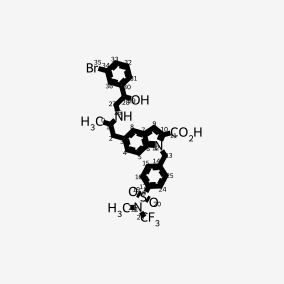 CC(Cc1ccc2c(c1)cc(C(=O)O)n2Cc1ccc(S(=O)(=O)N(C)C(F)(F)F)cc1)NCC(O)c1cccc(Br)c1